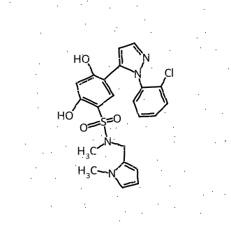 CN(Cc1cccn1C)S(=O)(=O)c1cc(-c2ccnn2-c2ccccc2Cl)c(O)cc1O